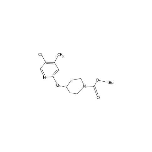 CC(C)(C)OC(=O)N1CCC(Oc2cc(C(F)(F)F)c(Cl)cn2)CC1